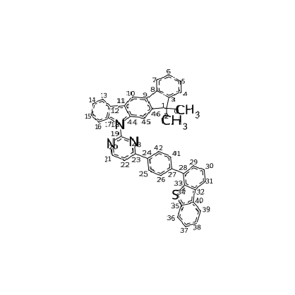 CC1(C)c2ccccc2-c2cc3c4ccccc4n(-c4nccc(-c5ccc(-c6cccc7c6sc6ccccc67)cc5)n4)c3cc21